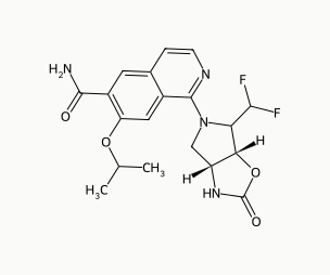 CC(C)Oc1cc2c(N3C[C@H]4NC(=O)O[C@H]4C3C(F)F)nccc2cc1C(N)=O